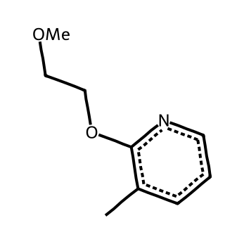 COCCOc1ncccc1C